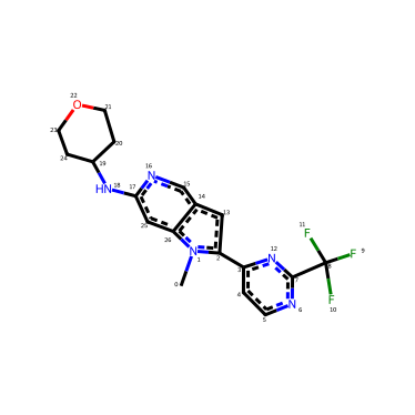 Cn1c(-c2ccnc(C(F)(F)F)n2)cc2cnc(NC3CCOCC3)cc21